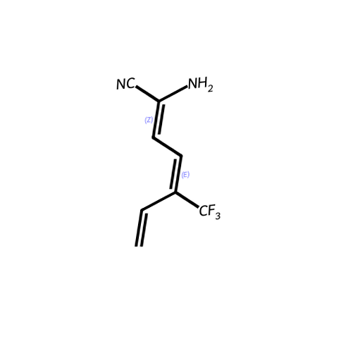 C=C/C(=C\C=C(/N)C#N)C(F)(F)F